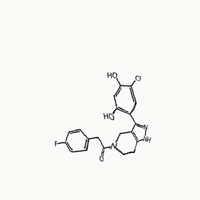 O=C(Cc1ccc(F)cc1)N1CCc2[nH]nc(-c3cc(Cl)c(O)cc3O)c2C1